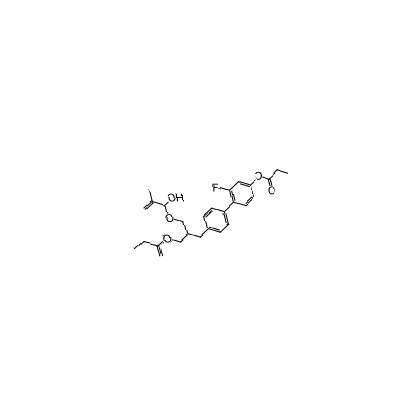 C=C(CC)OCC(COC(O)C(=C)C)Cc1ccc(-c2ccc(OC(=O)CC)cc2F)cc1